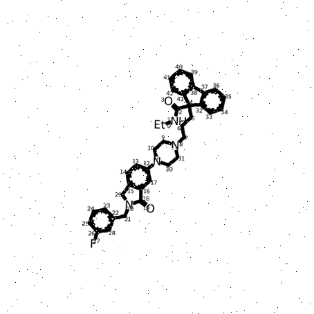 CCNC(=O)C1(CCCN2CCN(c3ccc4c(c3)C(=O)N(Cc3cccc(F)c3)C4)CC2)c2ccccc2-c2ccccc21